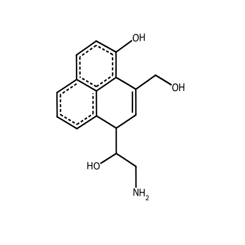 NCC(O)C1C=C(CO)c2c(O)ccc3cccc1c23